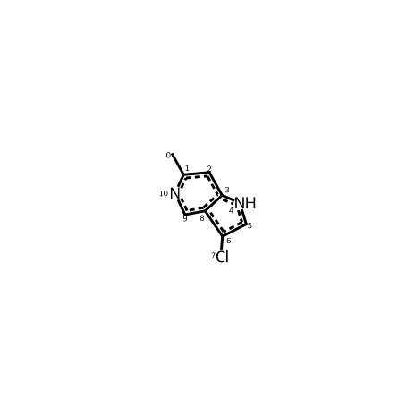 Cc1cc2[nH]cc(Cl)c2cn1